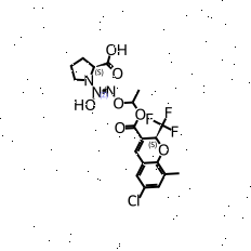 Cc1cc(Cl)cc2c1O[C@H](C(F)(F)F)C(C(=O)OC(C)O/N=[N+](\O)N1CCC[C@H]1C(=O)O)=C2